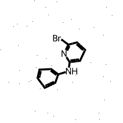 Brc1cccc(Nc2ccccc2)n1